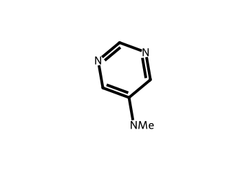 CNc1cncnc1